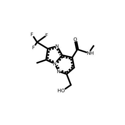 CNC(=O)c1cc(CO)nn2c(C)c(C(F)(F)F)nc12